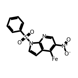 O=[N+]([O-])c1cnc2c(ccn2S(=O)(=O)c2ccccc2)[c]1[Fe]